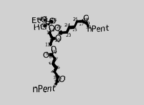 CCCCCC1OC1C/C=C/CC(=O)OCC(COP(=O)(O)OCC)OC(=O)C/C=C/CC1OC1CCCCC